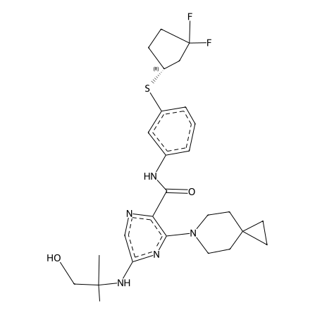 CC(C)(CO)Nc1cnc(C(=O)Nc2cccc(S[C@@H]3CCC(F)(F)C3)c2)c(N2CCC3(CC2)CC3)n1